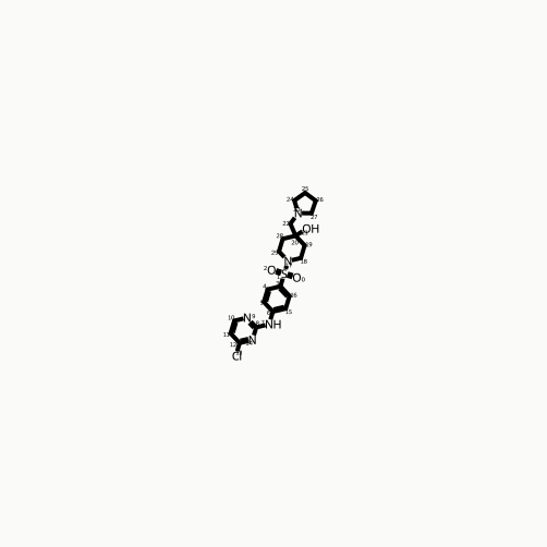 O=S(=O)(c1ccc(Nc2nccc(Cl)n2)cc1)N1CCC(O)(CN2CCCC2)CC1